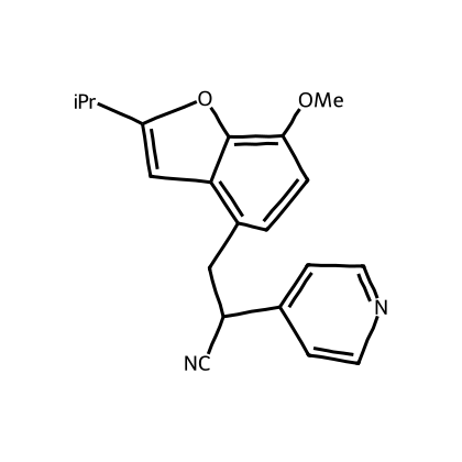 COc1ccc(CC(C#N)c2ccncc2)c2cc(C(C)C)oc12